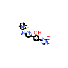 CN(c1ccc(-c2ccc(-c3ncn(C)c(=O)n3)cc2O)nn1)[C@H]1C[C@]2(C)CC[C@](C)([C@H]1F)N2C